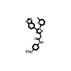 CCOc1ccc(NC(=O)Cc2cc(-c3ccc4ncsc4c3)n(-c3cccc(C)n3)n2)cc1